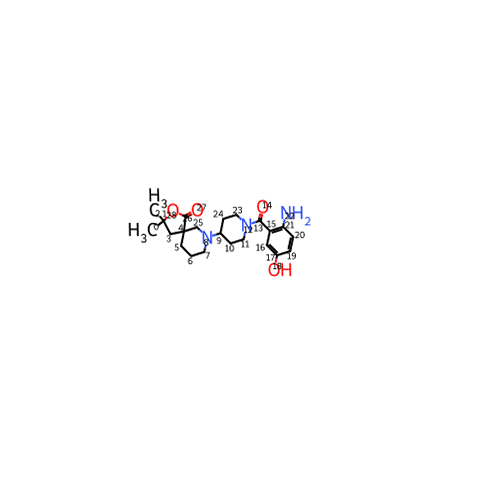 CC1(C)CC2(CCCN(C3CCN(C(=O)c4cc(O)ccc4N)CC3)C2)C(=O)O1